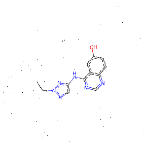 CCn1ncc(Nc2ncnc3ccc(O)cc23)n1